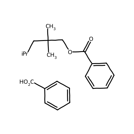 CC(C)CC(C)(C)COC(=O)c1ccccc1.O=C(O)c1ccccc1